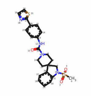 CS(=O)(=O)N1CC2(CCN(C(=O)Nc3ccc(-c4nccs4)cc3)CC2)c2ccccc21